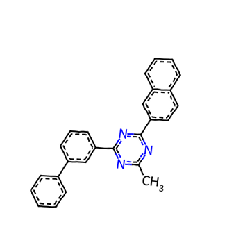 Cc1nc(-c2cccc(-c3ccccc3)c2)nc(-c2ccc3ccccc3c2)n1